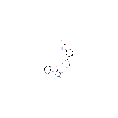 Cc1c(CN2CCC(c3cccc(NC(=O)C(C)C)c3)CC2)c(=O)n(-c2ccccc2)n1C